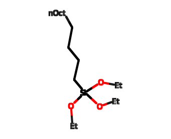 [CH2]CCCCCCCCCCC[Si](OCC)(OCC)OCC